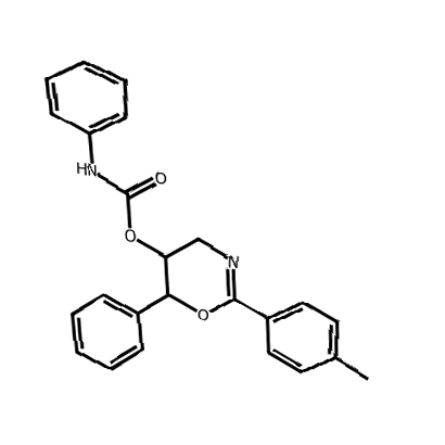 Cc1ccc(C2=NCC(OC(=O)Nc3ccccc3)C(c3ccccc3)O2)cc1